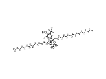 CCCCCCCCCCCCCCCCCCC(CCCCCCCCCCCCCCCCCC)(OP(=O)(O)O)c1cc(C)c(O)c(C(C)(C)C)c1